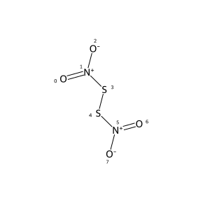 O=[N+]([O-])SS[N+](=O)[O-]